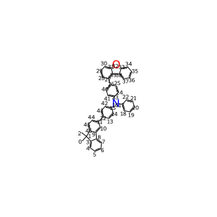 CC1(C)c2ccccc2-c2cc(-c3ccc(N(c4ccccc4)c4ccc(-c5cccc6oc7ccccc7c56)cc4)cc3)ccc21